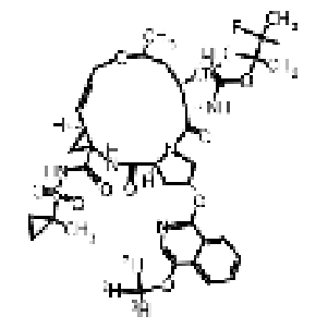 [2H]C([2H])([2H])Oc1cnc(O[C@@H]2C[C@H]3C(=O)N[C@]4(C(=O)NS(=O)(=O)C5(C)CC5)C[C@H]4/C=C\CC[C@@H](C)C[C@@H](C)[C@H](NC(=O)OC(C)(C)C(C)(F)F)C(=O)N3C2)c2ccccc12